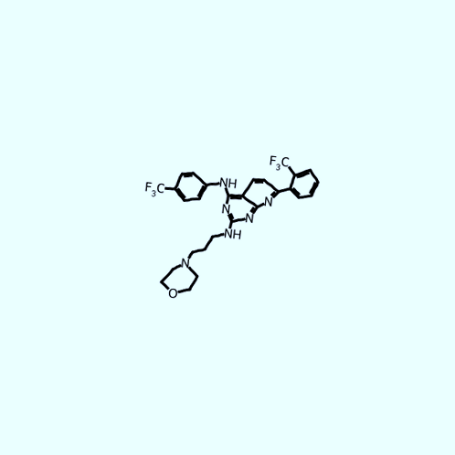 FC(F)(F)c1ccc(Nc2nc(NCCCN3CCOCC3)nc3nc(-c4ccccc4C(F)(F)F)ccc23)cc1